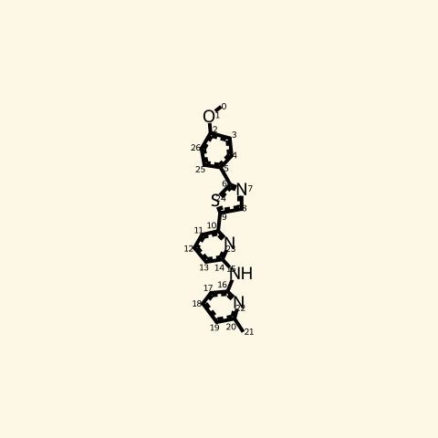 COc1ccc(-c2ncc(-c3cccc(Nc4cccc(C)n4)n3)s2)cc1